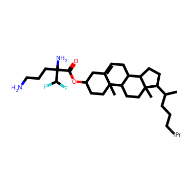 CC(C)CCCC(C)C1CCC2C3CC=C4CC(OC(=O)C(N)(CCCN)C(F)F)CCC4(C)C3CCC12C